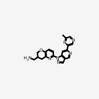 Cc1cncc(-c2cc3c(cn2)cnn3-c2ccc3c(n2)CC(CN)CO3)n1